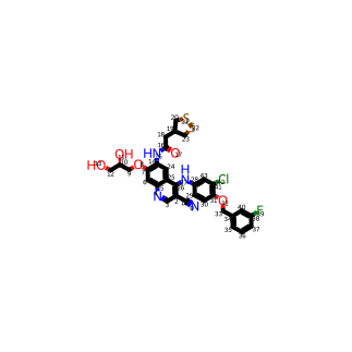 N#Cc1cnc2cc(OC[C@H](O)CO)c(NC(=O)CC3CSSC3)cc2c1Nc1ccc(OCc2cccc(F)c2)c(Cl)c1